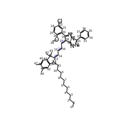 CCCCCCCCCCCCN1/C(=C/C=C/C=c2/c(-c3cc(Cl)ccc3OC)nn3c(-c4ccccc4)nnc23)C(C)(C)c2cc(C)c(C)cc21